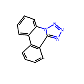 [c]1cccc2c1c1nnnn1c1ccccc21